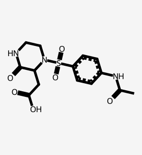 CC(=O)Nc1ccc(S(=O)(=O)N2CCNC(=O)C2CC(=O)O)cc1